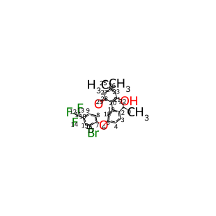 CCc1ccc(Oc2ccc(C(F)(F)F)cc2Br)cc1C1=C(O)CC(C)(C)CC1=O